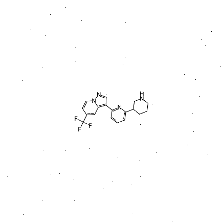 FC(F)(F)c1ccn2ncc(-c3cccc(C4CCCNC4)n3)c2c1